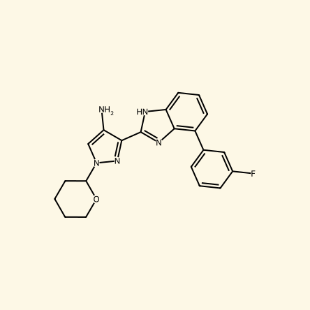 Nc1cn(C2CCCCO2)nc1-c1nc2c(-c3cccc(F)c3)cccc2[nH]1